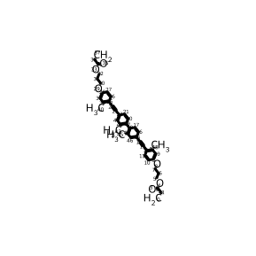 C=CC(=O)OCCCOc1ccc(C#Cc2ccc(-c3ccc(C#Cc4ccc(OCCCOC(=O)C=C)cc4C)cc3C)c(C)c2)c(C)c1